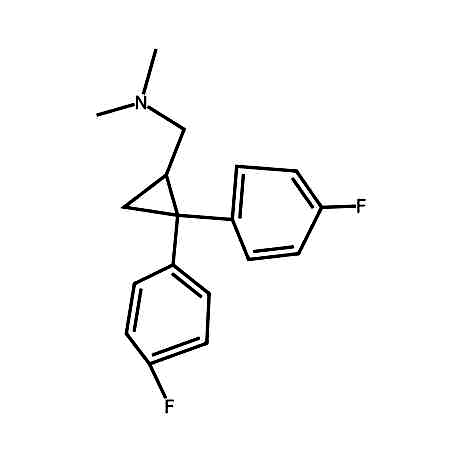 CN(C)CC1CC1(c1ccc(F)cc1)c1ccc(F)cc1